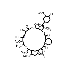 CCC1/C=C(\C)C(OC(C)=O)C(C)CC(OC)C2OC(O)(C(=O)C(=O)N3CCCCC3C(=O)OC(C(C)=CC3CCC(O)C(OC)C3)C(C)C(O)CC1=O)C(C)CC2OC